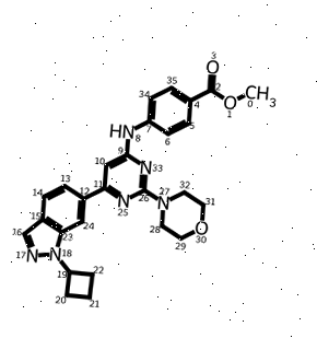 COC(=O)c1ccc(Nc2cc(-c3ccc4cnn(C5CCC5)c4c3)nc(N3CCOCC3)n2)cc1